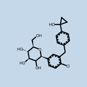 OC[C@H]1O[C@@H](c2ccc(Cl)c(Cc3ccc(C4(O)CC4)cc3)c2)C(O)[C@@H](O)[C@@H]1O